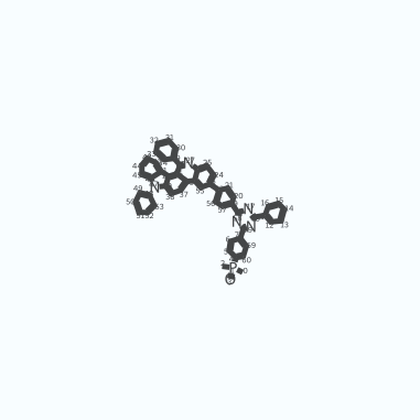 CP(C)(=O)c1ccc(-c2nc(-c3ccccc3)nc(-c3ccc(-c4ccc5nc(-c6ccccc6)c6c(ccc7c6c6ccccc6n7-c6ccccc6)c5c4)cc3)n2)cc1